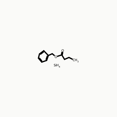 CCCC(=O)OCc1ccccc1.[SiH4]